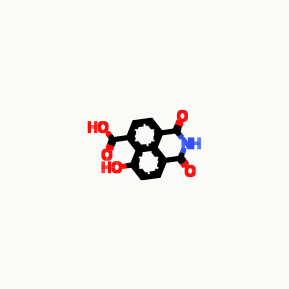 O=C(O)c1ccc2c3c(ccc(O)c13)C(=O)NC2=O